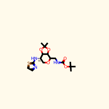 CC(C)(C)OC(=O)NCC1OC[C@H](Nc2nccs2)C2OC(C)(C)OC12